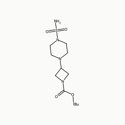 CC(C)(C)OC(=O)N1CC(N2CCN(S(N)(=O)=O)CC2)C1